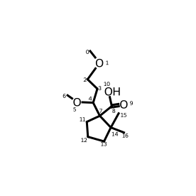 COCCC(OC)C1(C(=O)O)CCCC1(C)C